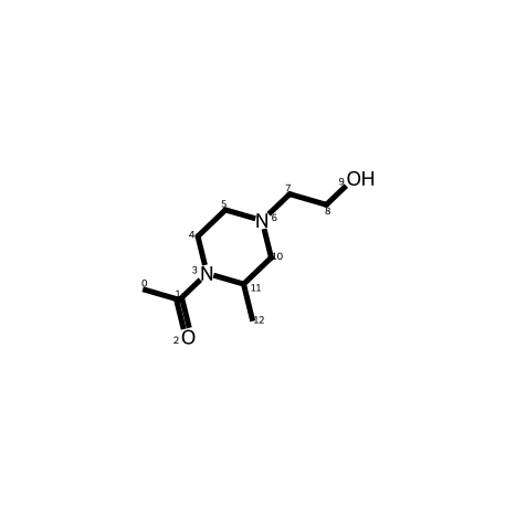 CC(=O)N1CCN(CCO)CC1C